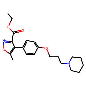 CCOC(=O)c1noc(C)c1-c1ccc(OCCCN2CCCCC2)cc1